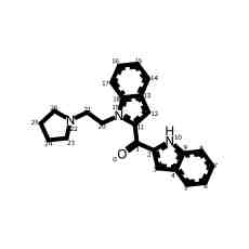 O=C(c1cc2ccccc2[nH]1)c1cc2ccccc2n1CCN1CCCC1